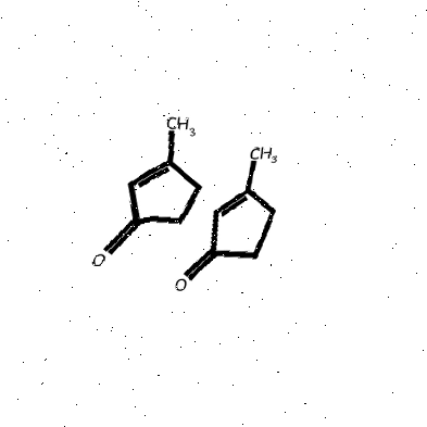 CC1=CC(=O)CC1.CC1=CC(=O)CC1